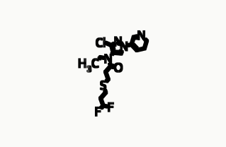 CCN(C(=O)CCSCCC(F)F)c1cn(C2=CCCN=C2)nc1Cl